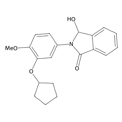 COc1ccc(N2C(=O)c3ccccc3C2O)cc1OC1CCCC1